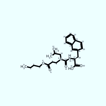 CCCCOC(=O)CCN(CC(C)C)C(=O)N[C@@H](Cc1ccc2ccccc2c1)C(=O)O